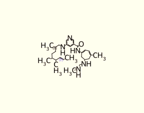 C/C=C/C(C)C(C)CC[C@H](C)CNc1cncc(C(=O)NC2=CC=C(C)CC(NCNC)C2)c1